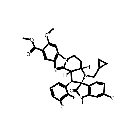 COC(=O)c1cc2nc3n(c2cc1OC)CC[C@H]1[C@@H]3[C@H](c2cccc(Cl)c2F)[C@]2(C(=O)Nc3cc(Cl)ccc32)N1CC1CC1